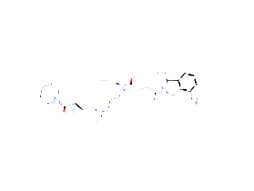 CC(CCC(=O)N(C=O)CCCN(C)C/C=C/C(=O)N1CCCCC1)N1Cc2c(N)cccc2C1=O